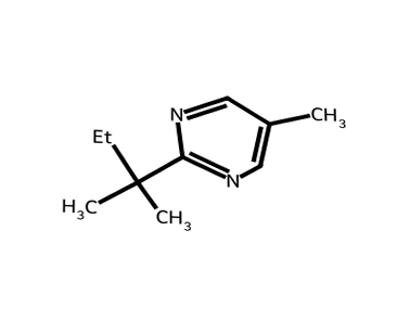 CCC(C)(C)c1ncc(C)cn1